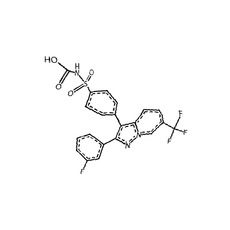 O=C(O)NS(=O)(=O)c1ccc(-c2c(-c3cccc(F)c3)nn3cc(C(F)(F)F)ccc23)cc1